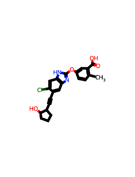 Cc1ccc(Oc2nc3cc(C#CC4CCCC4O)c(Cl)cc3[nH]2)cc1C(=O)O